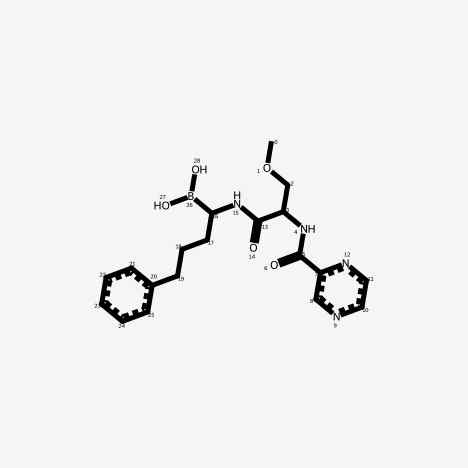 COCC(NC(=O)c1cnccn1)C(=O)NC(CCCc1ccccc1)B(O)O